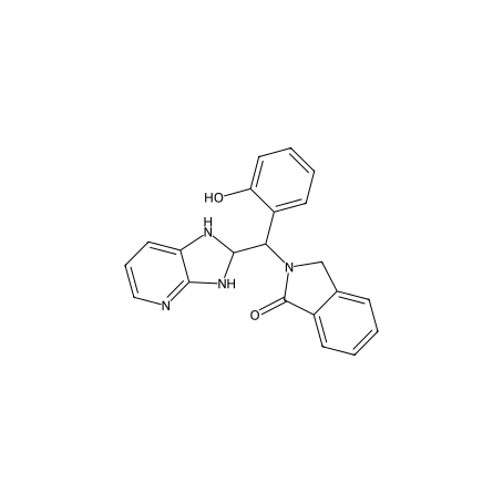 O=C1c2ccccc2CN1C(c1ccccc1O)C1Nc2cccnc2N1